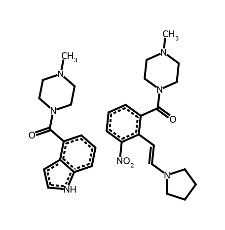 CN1CCN(C(=O)c2cccc([N+](=O)[O-])c2C=CN2CCCC2)CC1.CN1CCN(C(=O)c2cccc3[nH]ccc23)CC1